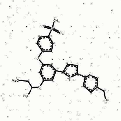 COC[C@H](C)Oc1cc(Oc2ccc(S(C)(=O)=O)cc2)cc(-c2ccc(-c3ccc(CO)cn3)[nH]2)c1